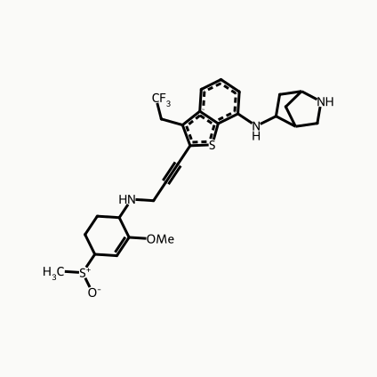 COC1=CC([S+](C)[O-])CCC1NCC#Cc1sc2c(NC3CC4CC3CN4)cccc2c1CC(F)(F)F